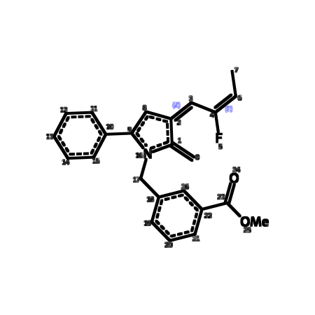 C=c1/c(=C\C(F)=C/C)cc(-c2ccccc2)n1Cc1cccc(C(=O)OC)c1